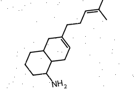 CC(C)=CCCC1=CCC2C(N)CCCC2C1